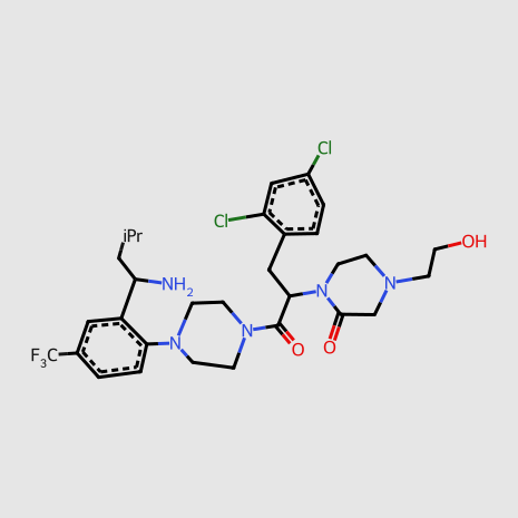 CC(C)CC(N)c1cc(C(F)(F)F)ccc1N1CCN(C(=O)C(Cc2ccc(Cl)cc2Cl)N2CCN(CCO)CC2=O)CC1